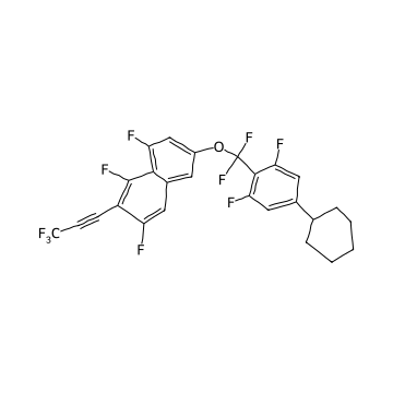 Fc1cc2cc(OC(F)(F)c3c(F)cc(C4CCCCC4)cc3F)cc(F)c2c(F)c1C#CC(F)(F)F